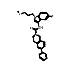 COCCCn1cc(NC(=O)N2CCc3cc(-c4ccccc4)ccc3C2)c2cc(F)ccc21